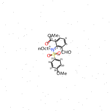 CCCCCCCCN(c1c(C=O)cccc1C(=O)OC)S(=O)(=O)c1ccc(OC)cc1